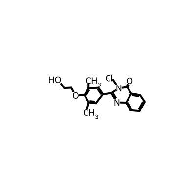 Cc1cc(-c2nc3ccccc3c(=O)n2Cl)cc(C)c1OCCO